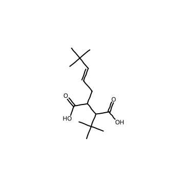 CC(C)(C)/C=C/CC(C(=O)O)C(C(=O)O)C(C)(C)C